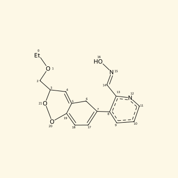 CCOCC1C=C2CC(c3cccnc3C=NO)=CC=C2OO1